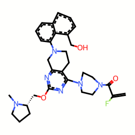 C=C(F)C(=O)N1CCN(c2nc(OC[C@@H]3CCCN3C)nc3c2CCN(c2cccc4cccc(CO)c24)C3)CC1